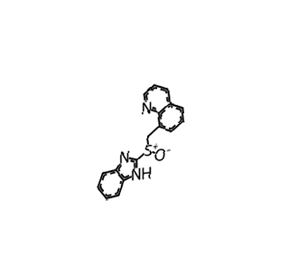 [O-][S+](Cc1cccc2cccnc12)c1nc2ccccc2[nH]1